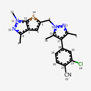 Cc1nn(Cc2cc3c(C)nn(C)c3s2)c(C)c1-c1ccc(C#N)c(Cl)c1